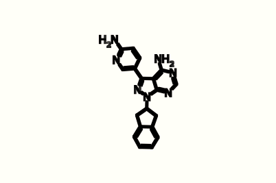 Nc1ccc(-c2nn(C3Cc4ccccc4C3)c3ncnc(N)c23)cn1